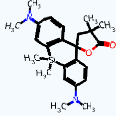 CN(C)c1ccc2c(c1)[Si](C)(C)c1cc(N(C)C)ccc1C21CC(C)(C)C(=O)O1